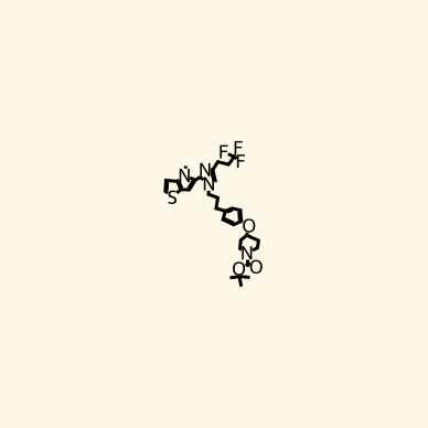 Cn1c(-c2nc(CCC(F)(F)F)cn2CCCc2ccc(OC3CCN(C(=O)OC(C)(C)C)CC3)cc2)cc2sccc21